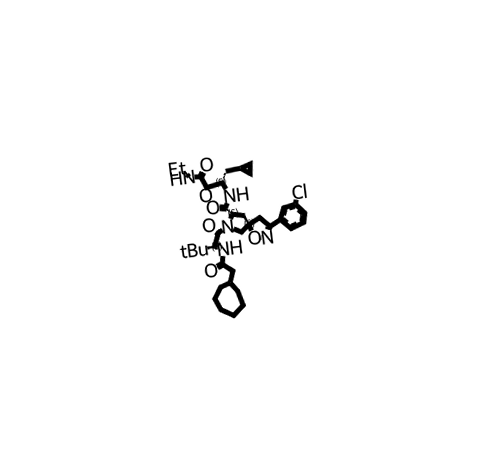 CCNC(=O)C(=O)[C@H](CC1CC1)NC(=O)[C@@H]1C[C@]2(CC(c3cccc(Cl)c3)=NO2)CN1C(=O)[C@@H](NC(=O)CC1CCCCCC1)C(C)(C)C